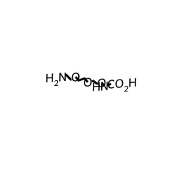 NCCOCCOCCONC(=O)O